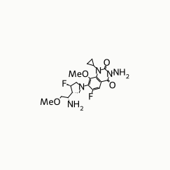 COC[C@@H](N)[C@H]1CN(c2c(F)cc3c(=O)n(N)c(=O)n(C4CC4)c3c2OC)C[C@@H]1F